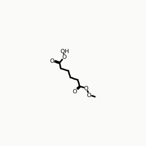 COOC(=O)CCCCC(=O)OO